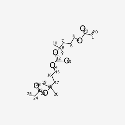 C=CC(=O)OCCCC(C)(C)OC(=O)OCCCC(C)(C)OC(=O)CC